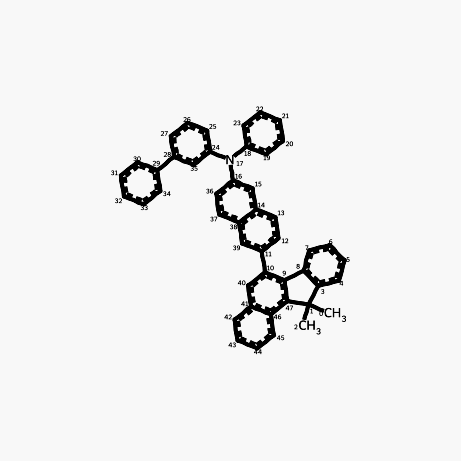 CC1(C)c2ccccc2-c2c(-c3ccc4cc(N(c5ccccc5)c5cccc(-c6ccccc6)c5)ccc4c3)cc3ccccc3c21